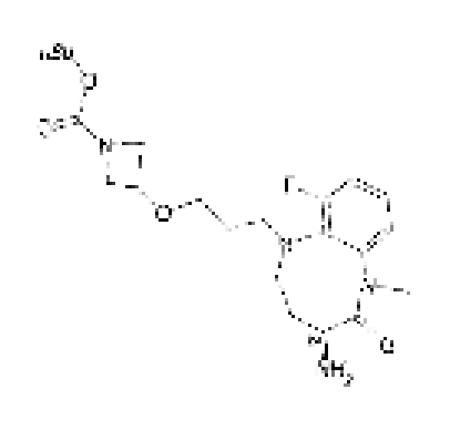 CCCCOC(=O)N1CC(OCCCN2CC[C@H](N)C(=O)N(C)c3cccc(F)c32)C1